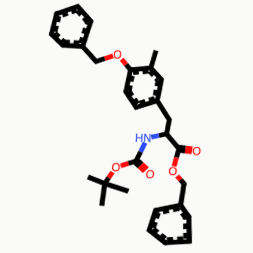 Cc1cc(CC(NC(=O)OC(C)(C)C)C(=O)OCc2ccccc2)ccc1OCc1ccccc1